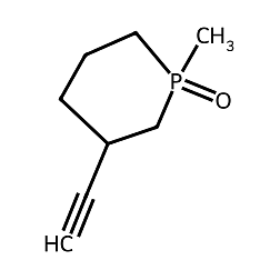 C#CC1CCCP(C)(=O)C1